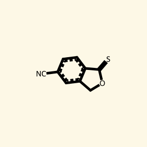 N#Cc1ccc2c(c1)COC2=S